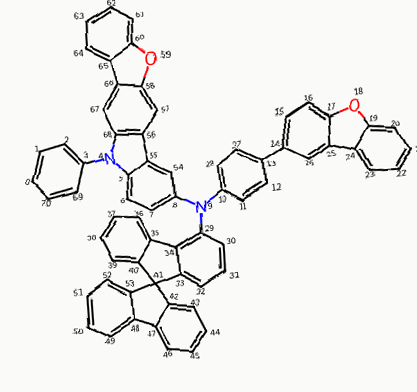 c1ccc(-n2c3ccc(N(c4ccc(-c5ccc6oc7ccccc7c6c5)cc4)c4cccc5c4-c4ccccc4C54c5ccccc5-c5ccccc54)cc3c3cc4oc5ccccc5c4cc32)cc1